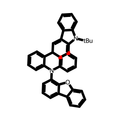 CC(C)(C)n1c2c(c3ccccc31)=CC(c1ccccc1N(c1ccccc1)c1cccc3c1oc1ccccc13)CC=2